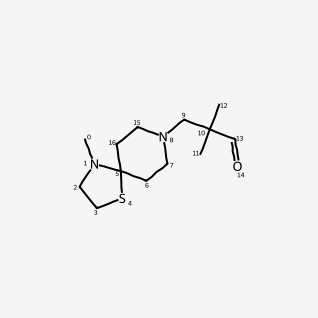 CN1CCSC12CCN(CC(C)(C)C=O)CC2